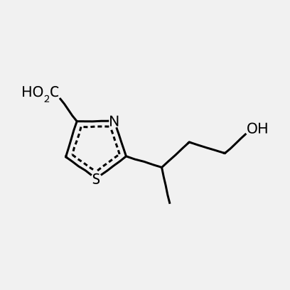 CC(CCO)c1nc(C(=O)O)cs1